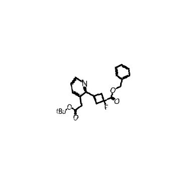 CC(C)(C)OC(=O)Cc1cccnc1C1CC(F)(C(=O)OCc2ccccc2)C1